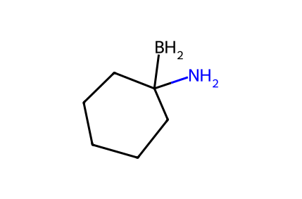 BC1(N)CCCCC1